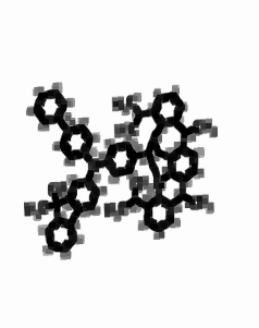 CC(C)c1cccc2c1C1Cc3c(ccc4c3N(c3c(C(C)C)cccc3C4C)C1c1ccc(N(c3ccc(-c4ccccc4)cc3)c3ccc4c(c3)C(C)(C)c3ccccc3-4)cc1)C2C